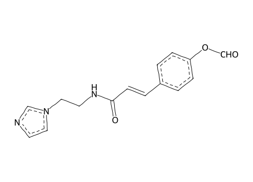 O=COc1ccc(/C=C/C(=O)NCCn2ccnc2)cc1